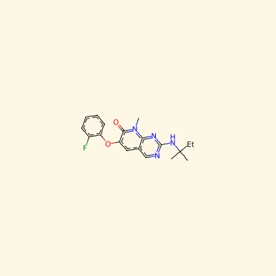 CCC(C)(C)Nc1ncc2cc(Oc3ccccc3F)c(=O)n(C)c2n1